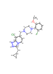 COc1cccc(F)c1N1CCN(Cc2ccn3c(CC4CC4)nnc3c2Cl)CC1